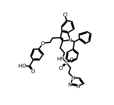 O=C(O)c1ccc(OCCc2c(CCNS(=O)(=O)CCn3ccnn3)n(C(c3ccccc3)c3ccccc3)c3ccc(Cl)cc23)cc1